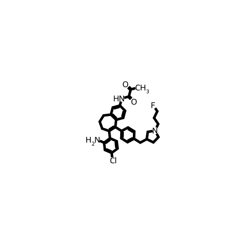 CC(=O)C(=O)Nc1ccc2c(c1)CCCC(c1ccc(Cl)cc1N)=C2c1ccc(CC2CCN(CCCF)C2)cc1